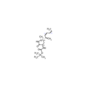 C=C(/C=C\C=C/C)[C@@H]1C[C@@H](NC(=O)OC(C)(C)C)C(=O)N[C@@H]1C